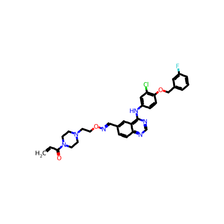 C=CC(=O)N1CCN(CCO/N=C/c2ccc3ncnc(Nc4ccc(OCc5cccc(F)c5)c(Cl)c4)c3c2)CC1